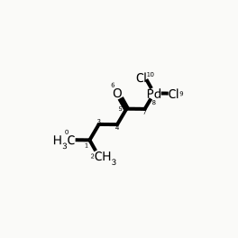 CC(C)CCC(=O)[CH2][Pd]([Cl])[Cl]